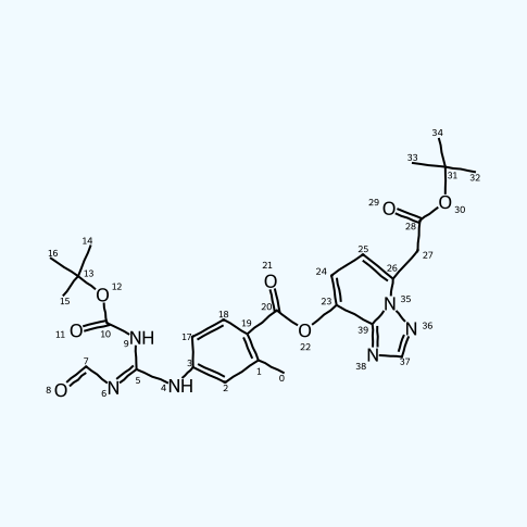 Cc1cc(N/C(=N/C=O)NC(=O)OC(C)(C)C)ccc1C(=O)Oc1ccc(CC(=O)OC(C)(C)C)n2ncnc12